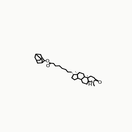 CN1C(=O)CC[C@]2(C)C3CC[C@@]4(C)C(CC[C@@H]4CCCCCCCC(=O)OC4C5CC6CC(C5)CC4C6)C3CC[C@@H]12